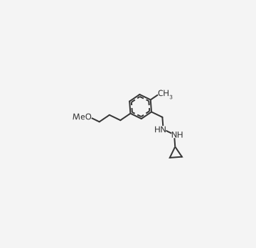 COCCCc1ccc(C)c(CNNC2CC2)c1